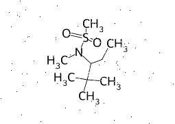 CCC(N(C)S(C)(=O)=O)C(C)(C)C